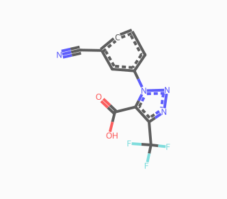 N#Cc1cccc(-n2nnc(C(F)(F)F)c2C(=O)O)c1